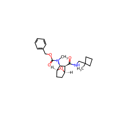 CN(C(=O)OCc1ccccc1)[C@H]1[C@@H](C(=O)NCC2(C)CCC2)[C@H]2CC[C@@H]1O2